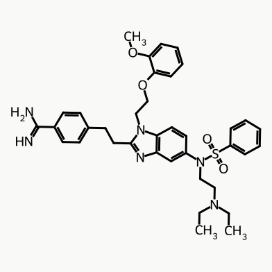 CCN(CC)CCN(c1ccc2c(c1)nc(CCc1ccc(C(=N)N)cc1)n2CCOc1ccccc1OC)S(=O)(=O)c1ccccc1